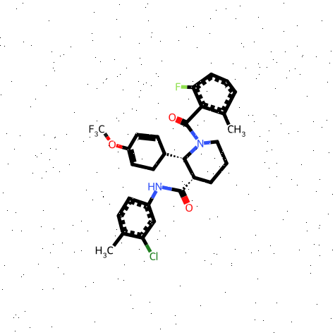 Cc1ccc(NC(=O)[C@H]2CCCN(C(=O)c3c(C)cccc3F)[C@H]2C2C=CC(OC(F)(F)F)=CC2)cc1Cl